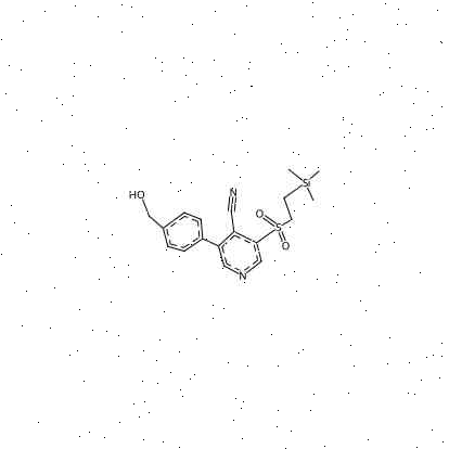 C[Si](C)(C)CCS(=O)(=O)c1cncc(-c2ccc(CO)cc2)c1C#N